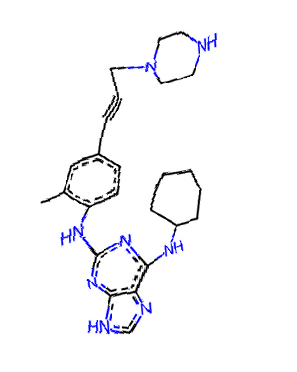 Cc1cc(C#CCN2CCNCC2)ccc1Nc1nc(NC2CCCCC2)c2nc[nH]c2n1